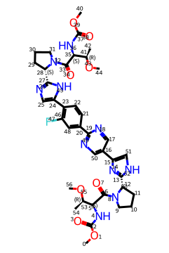 COC(=O)N[C@H](C(=O)N1CCC[C@H]1c1nc(-c2cnc(-c3ccc(-c4cnc([C@@H]5CCCN5C(=O)[C@@H](NC(=O)OC)[C@@H](C)OC)[nH]4)c(F)c3)nc2)c[nH]1)[C@@H](C)OC